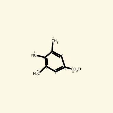 CCOC(=O)c1cc(C)c(C#N)c(C)c1